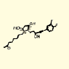 CC(=O)CCCCCC[C@@H]1[C@@H](CCC(O)C#Cc2ccc(F)c(F)c2)[C@H](O)C[C@@H]1O